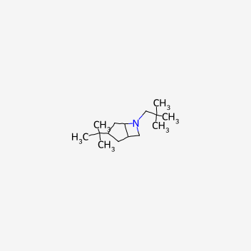 CC(C)(C)CN1CC2CC(C(C)(C)C)CC21